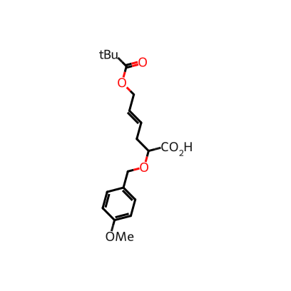 COc1ccc(COC(CC=CCOC(=O)C(C)(C)C)C(=O)O)cc1